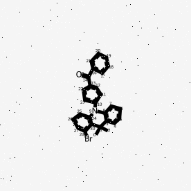 CC1(C)c2ccccc2N(c2ccc(C(=O)c3ccccc3)cc2)c2cccc(Br)c21